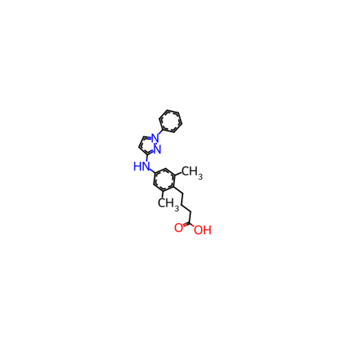 Cc1cc(Nc2ccn(-c3ccccc3)n2)cc(C)c1CCCC(=O)O